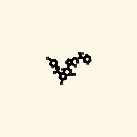 COc1cc(Cl)cc(C(=O)Nc2ccc(Cl)cn2)c1NC(=O)c1scc(CNC(=N)c2cnccn2)c1Cl